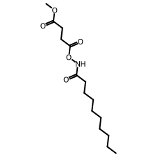 CCCCCCCCCC(=O)NOC(=O)CCC(=O)OC